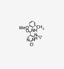 COc1cccc(C)c1NC(=O)c1cnc(Cl)nc1NC1CC1